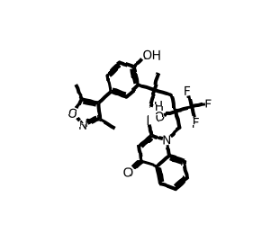 Cc1noc(C)c1-c1ccc(O)c(C(C)(C)CC(O)(Cn2c(I)cc(=O)c3ccccc32)C(F)(F)F)c1